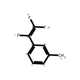 Cc1cccc(C(F)=C(F)F)c1